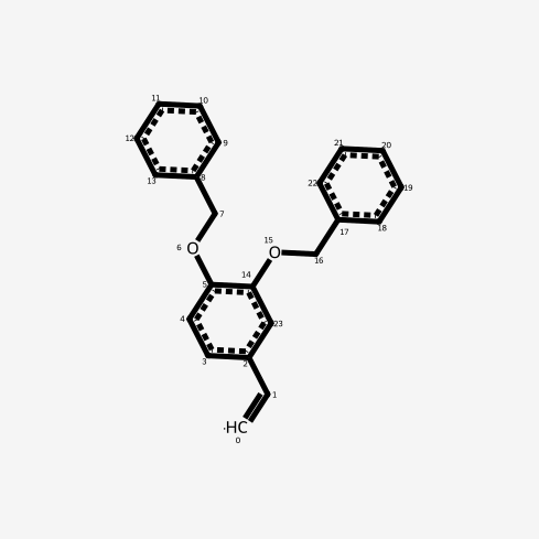 [CH]=Cc1ccc(OCc2ccccc2)c(OCc2ccccc2)c1